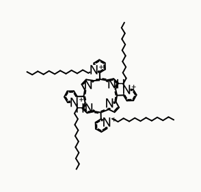 CCCCCCCCCCCC[n+]1ccccc1-c1c2nc(c(-c3cccc[n+]3CCCCCCCCCCCC)c3ccc([nH]3)c(-c3cccc[n+]3CCCCCCCCCCCC)c3nc(c(-c4cccc[n+]4CCCCCCCCCCCC)c4ccc1[nH]4)C=C3)C=C2